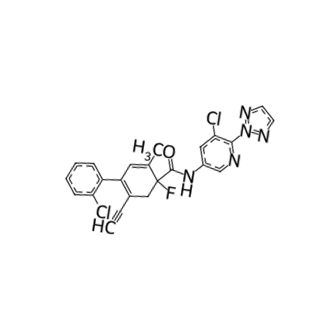 C#CC1=C(c2ccccc2Cl)C=C(C)C(F)(C(=O)Nc2cnc(-n3nccn3)c(Cl)c2)C1